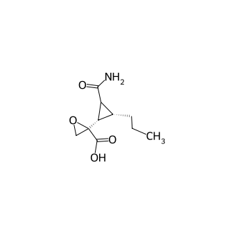 CCC[C@H]1C(C(N)=O)[C@H]1C1(C(=O)O)CO1